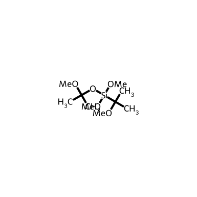 COC(C)(C)O[Si](OC)(OC)C(C)(C)OC